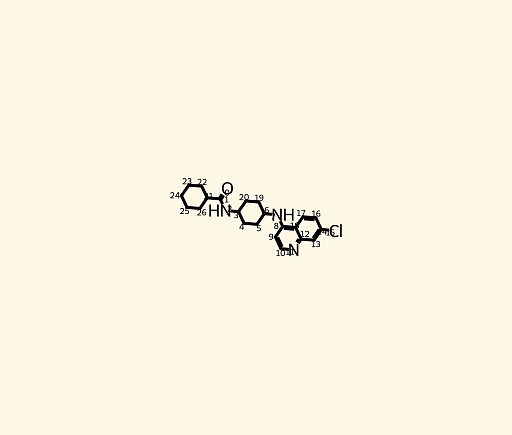 O=C(NC1CCC(Nc2ccnc3cc(Cl)ccc23)CC1)C1CCCCC1